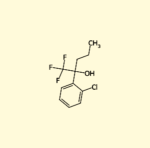 CCCC(O)(c1ccccc1Cl)C(F)(F)F